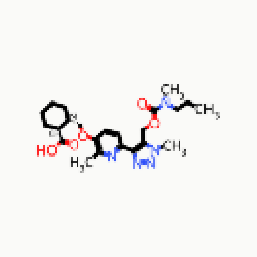 CCCN(C)C(=O)OCc1c(-c2ccc(OC[C@H]3CCCC[C@@H]3C(=O)O)c(C)n2)nnn1C